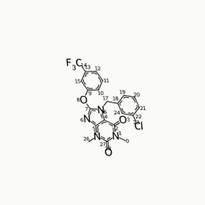 Cn1c(=O)c2c(nc(Oc3cccc(C(F)(F)F)c3)n2Cc2cccc(Cl)c2)n(C)c1=O